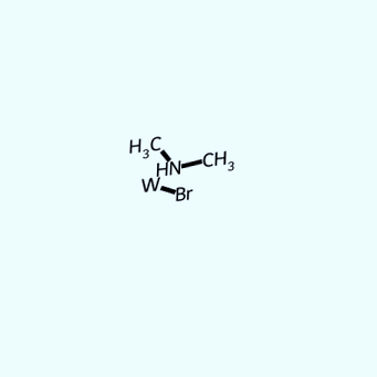 CNC.[Br][W]